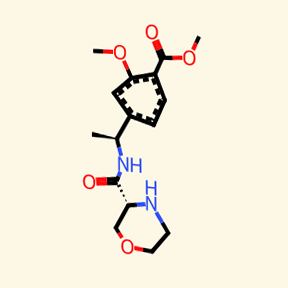 COC(=O)c1ccc([C@H](C)NC(=O)[C@H]2COCCN2)cc1OC